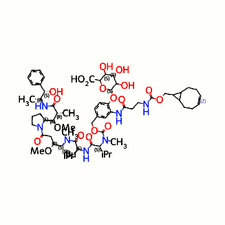 CC[C@H](C)[C@@H]([C@@H](CC(=O)N1CCC[C@H]1[C@H](OC)[C@@H](C)C(=O)N[C@H](C)[C@@H](O)c1ccccc1)OC)N(C)C(=O)[C@@H](NC(=O)[C@H](C(C)C)N(C)C(=O)OCc1ccc(O[C@@H]2OC(C(=O)O)[C@@H](O)[C@H](O)C2O)c(NC(=O)CCNC(=O)OCC2C3CC/C=C\CCC32)c1)C(C)C